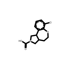 O=C(O)N1CC2CCOc3c(Cl)cccc3C2C1